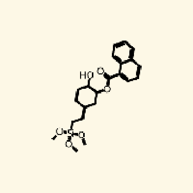 CO[Si](CCC1CCC(O)C(OC(=O)c2cccc3ccccc23)C1)(OC)OC